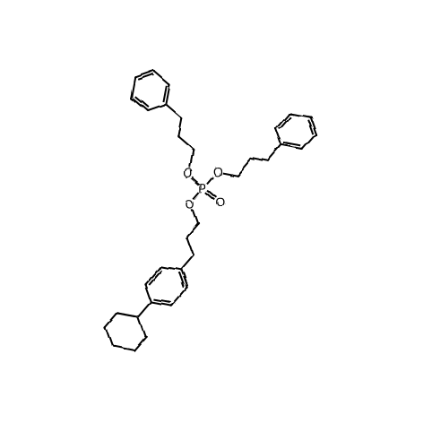 O=P(OCCCc1ccccc1)(OCCCc1ccccc1)OCCCc1ccc(C2CCCCC2)cc1